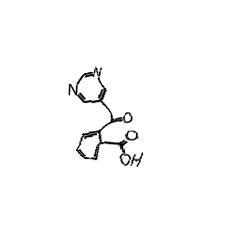 O=C(O)c1ccccc1C(=O)c1cncnc1